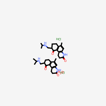 Cc1cc2c(c3c1CCC(CNC(C)C)C3=O)CCC(=O)N2.Cc1cc2c(c3c1CCC(CNC(C)C)C3=O)CCC(=O)N2.Cl.Cl.O